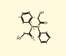 O=C(CS)N(c1ccccc1)N(C(=O)CS)c1ccccc1